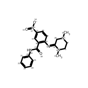 CN1CCN(C)/C(=N/c2ccc([N+](=O)[O-])cc2C(=O)Nc2ccccc2)C1